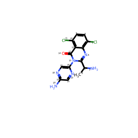 CC(N)c1nc2c(Cl)ccc(Cl)c2c(=O)n1-c1cnc(N)cn1